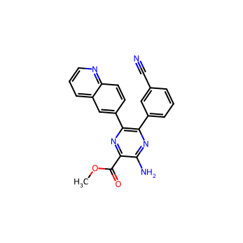 COC(=O)c1nc(-c2ccc3ncccc3c2)c(-c2cccc(C#N)c2)nc1N